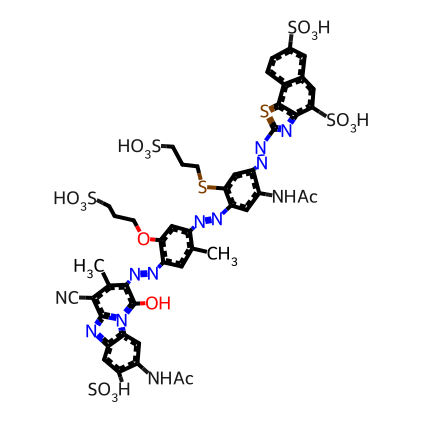 CC(=O)Nc1cc(N=Nc2cc(OCCCS(=O)(=O)O)c(N=Nc3c(C)c(C#N)c4nc5cc(S(=O)(=O)O)c(NC(C)=O)cc5n4c3O)cc2C)c(SCCCS(=O)(=O)O)cc1N=Nc1nc2c(S(=O)(=O)O)cc3cc(S(=O)(=O)O)ccc3c2s1